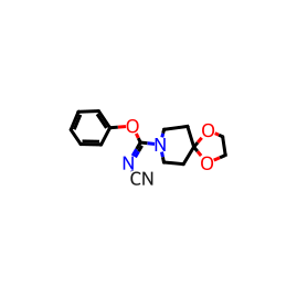 N#C/N=C(/Oc1ccccc1)N1CCC2(CC1)OCCO2